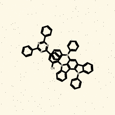 N#Cc1cc(-c2nc(-c3ccccc3)nc(-c3ccccc3)n2)ccc1-n1c2ccccc2c2c1c(N(c1ccccc1)c1ccccc1)cc1c3ccccc3n(-c3ccccc3)c12